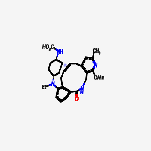 CCN(c1cccc2c1C/C=C\Cc1cc(C)nc(OC)c1CNC2=O)[C@H]1CC[C@H](NC(=O)O)CC1